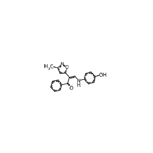 Cc1cc(C(=CNc2ccc(O)cc2)C(=O)c2ccccc2)on1